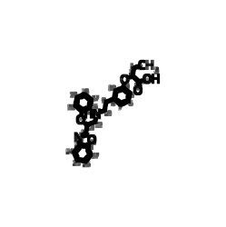 CCC(Oc1cccc(CCNCC(Oc2ccccc2)c2nc3ccccc3o2)c1)C(=O)O